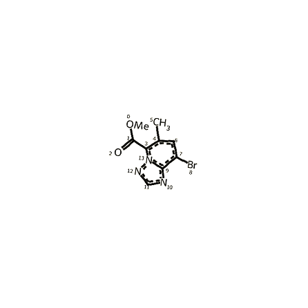 COC(=O)c1c(C)cc(Br)c2ncnn12